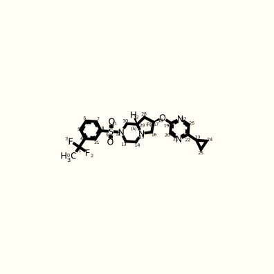 CC(F)(F)c1cccc(S(=O)(=O)N2CCN3C[C@H](Oc4cnc(C5CC5)cn4)C[C@H]3C2)c1